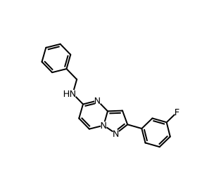 Fc1cccc(-c2cc3nc(NCc4ccccc4)ccn3n2)c1